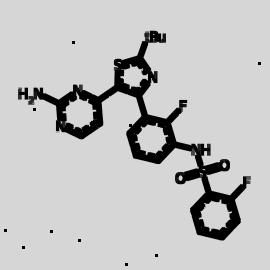 CC(C)(C)c1nc(-c2cccc(NS(=O)(=O)c3ccccc3F)c2F)c(-c2ccnc(N)n2)s1